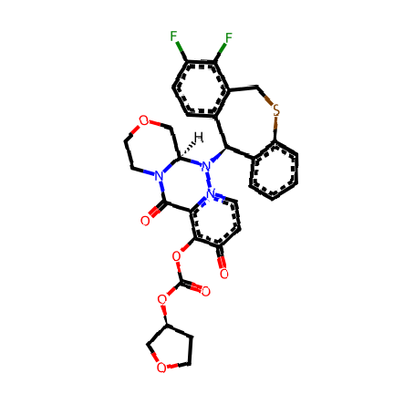 O=C(Oc1c2n(ccc1=O)N([C@@H]1c3ccccc3SCc3c1ccc(F)c3F)[C@@H]1COCCN1C2=O)O[C@H]1CCOC1